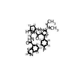 CCN(C)c1nc(C(=O)N2[C@H]3CC[C@H](C3)[C@@H]2CNC(=O)c2cccc3ncsc23)c(-c2ccc(F)cc2)s1